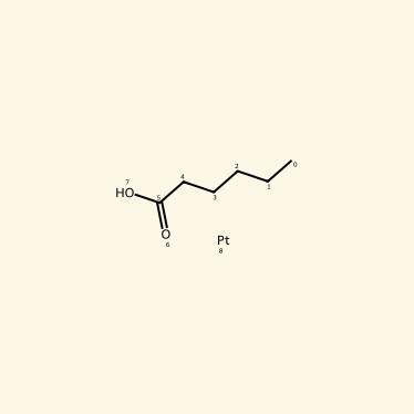 CCCCCC(=O)O.[Pt]